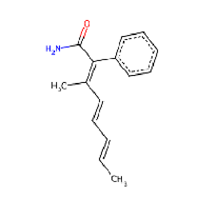 C/C=C/C=C/C(C)=C(/C(N)=O)c1ccccc1